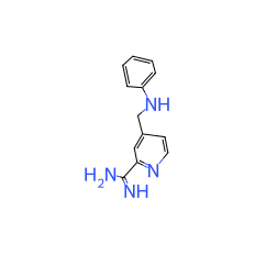 N=C(N)c1cc(CNc2ccccc2)ccn1